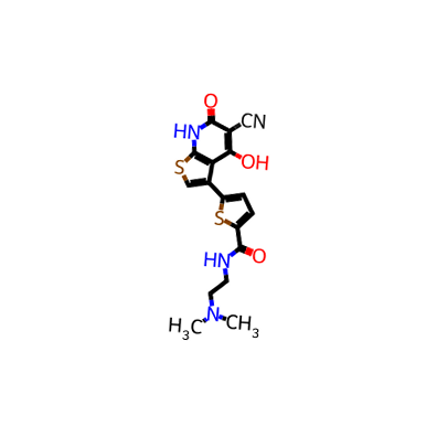 CN(C)CCNC(=O)c1ccc(-c2csc3[nH]c(=O)c(C#N)c(O)c23)s1